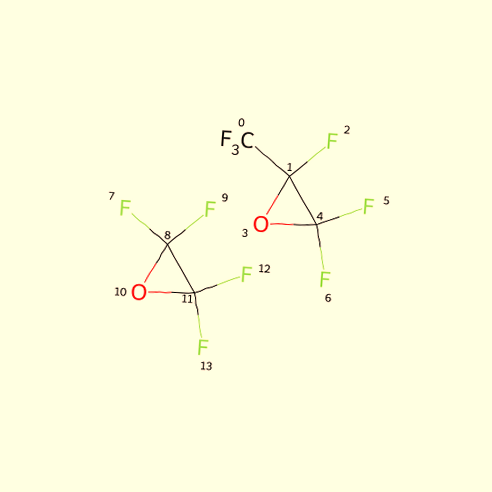 FC(F)(F)C1(F)OC1(F)F.FC1(F)OC1(F)F